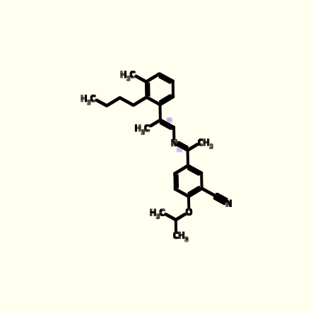 CCCCc1c(C)cccc1/C(C)=C/N=C(\C)c1ccc(OC(C)C)c(C#N)c1